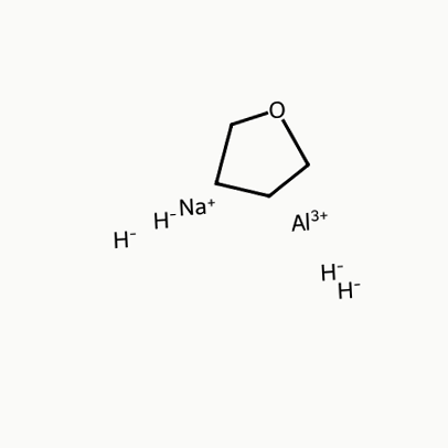 C1CCOC1.[Al+3].[H-].[H-].[H-].[H-].[Na+]